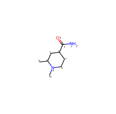 CC1CC(C(N)=O)CCN1C